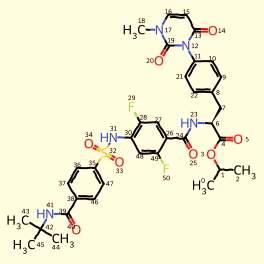 CC(C)OC(=O)[C@H](Cc1ccc(-n2c(=O)ccn(C)c2=O)cc1)NC(=O)c1cc(F)c(NS(=O)(=O)c2ccc(C(=O)NC(C)(C)C)cc2)cc1F